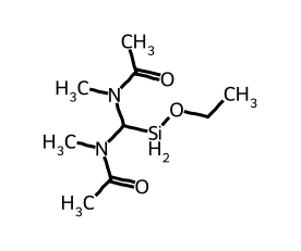 CCO[SiH2]C(N(C)C(C)=O)N(C)C(C)=O